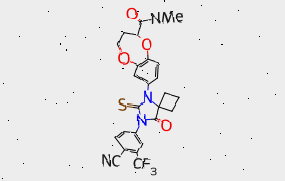 CNC(=O)C1CCOc2cc(N3C(=S)N(c4ccc(C#N)c(C(F)(F)F)c4)C(=O)C34CCC4)ccc2O1